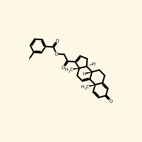 C[C@]12C=CC(=O)C=C1CC[C@@H]1C2=CC[C@]2(C)C(C(=O)COC(=O)c3cccc(I)c3)=CC[C@@H]12